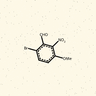 COc1ccc(Br)c(C=O)c1[N+](=O)[O-]